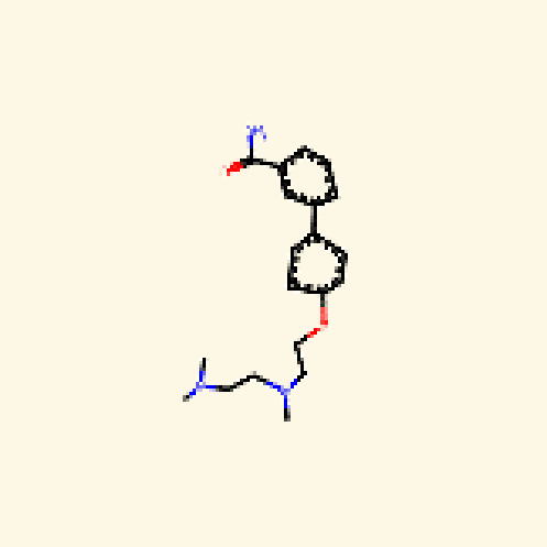 CN(C)CCN(C)CCOc1ccc(-c2cccc(C(N)=O)c2)cc1